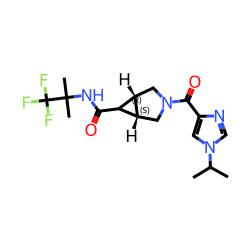 CC(C)n1cnc(C(=O)N2C[C@@H]3C(C(=O)NC(C)(C)C(F)(F)F)[C@@H]3C2)c1